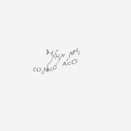 CC(=O)O.CC(=O)ON.CC(=O)ON